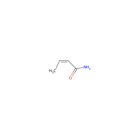 C/C=C\C(N)=O